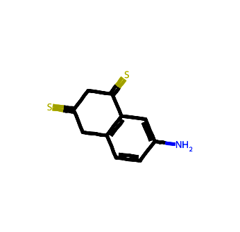 Nc1ccc2c(c1)C(=S)CC(=S)C2